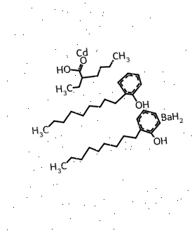 CCCCC(CC)C(=O)O.CCCCCCCCCc1ccccc1O.CCCCCCCCCc1ccccc1O.[BaH2].[Cd]